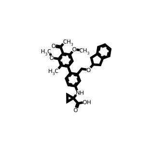 COc1cc(-c2ccc(NC3(C(=O)O)CC3)cc2COC2Cc3ccccc3C2)c(C)c(OC)c1C(C)=O